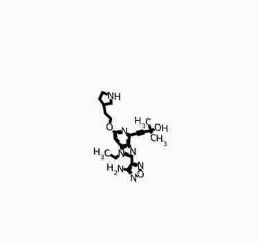 CCn1c(-c2nonc2N)nc2c(C#CC(C)(C)O)nc(OCCC3CCNC3)cc21